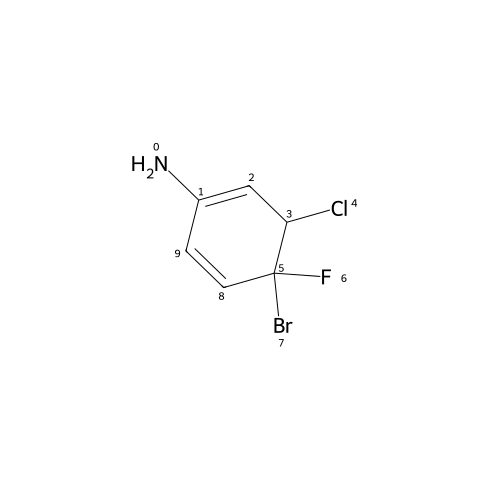 NC1=CC(Cl)C(F)(Br)C=C1